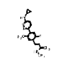 C=C(/C=C/c1cc(C)c(-c2ccc(NC3CC3)nn2)cc1F)NC